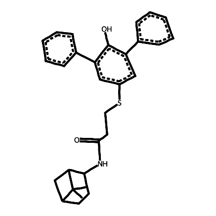 CC1(C)C2CCC(NC(=O)CCSc3cc(-c4ccccc4)c(O)c(-c4ccccc4)c3)C1C2